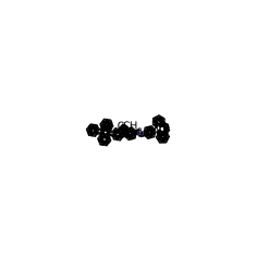 CC1(C)C2=C(CCC(N3c4ccccc4N(C4=CC=CCC4)C4C=CCCC43)C2)c2ccc(/C=C/c3ccc(N4c5ccccc5C=CC5C=CC=CC54)cc3)cc21